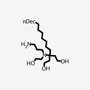 CCCCCCCCCCCCCCCCCC(CCO)(CCO)N(CCO)CCCN